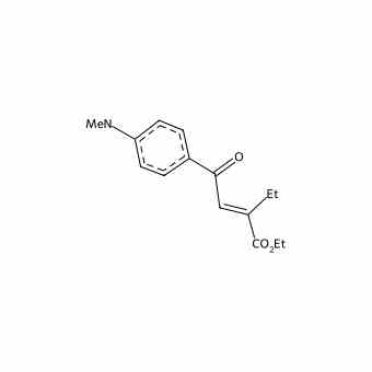 CCOC(=O)/C(=C/C(=O)c1ccc(NC)cc1)CC